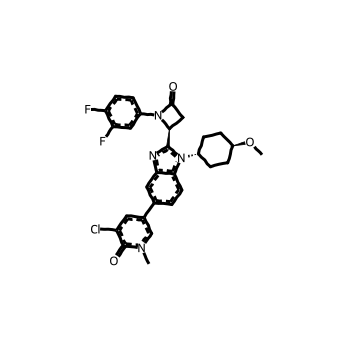 CO[C@H]1CC[C@H](n2c([C@@H]3CC(=O)N3c3ccc(F)c(F)c3)nc3cc(-c4cc(Cl)c(=O)n(C)c4)ccc32)CC1